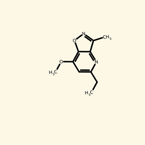 CCc1cc(OC)c2onc(C)c2n1